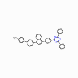 N#Cc1ccc(C2=CC=C(C3C=CC(C4C=CC(c5nc(-c6ccccc6)nc(-c6ccccc6)n5)=CC4)=C4C=CC=CC43)C=CC2)cc1